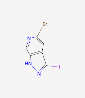 Brc1cc2c(I)n[nH]c2cn1